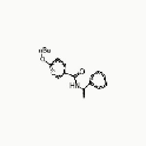 C=C(NC(=O)c1ccc(OCCCC)cc1)c1ccccc1